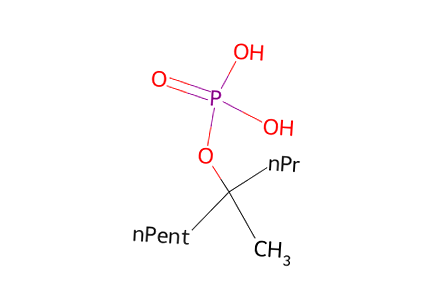 CCCCCC(C)(CCC)OP(=O)(O)O